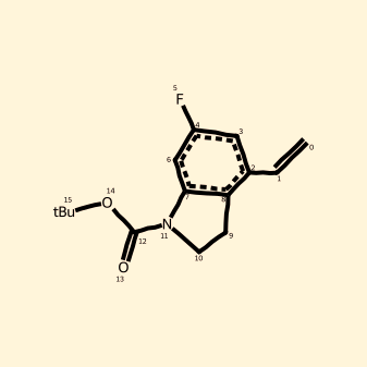 C=Cc1cc(F)cc2c1CCN2C(=O)OC(C)(C)C